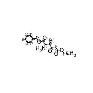 CCOC(=O)CC(=O)C(Br)C(N)C(=O)OCc1ccccc1